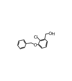 OCc1cccc(OCc2ccccc2)c1Cl